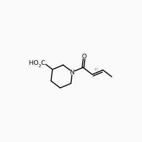 C/C=C/C(=O)N1CCCC(C(=O)O)C1